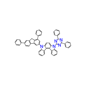 c1ccc(-c2ccc3c(c2)Cc2c(-c4ccccc4)cc(-n4c5ccccc5c5c6c7ccccc7n(-c7nc(-c8ccccc8)nc(-c8ccccc8)n7)c6ccc54)cc2-3)cc1